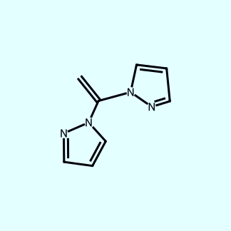 C=C(n1cccn1)n1cccn1